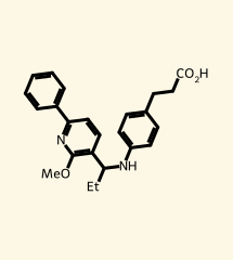 CCC(Nc1ccc(CCC(=O)O)cc1)c1ccc(-c2ccccc2)nc1OC